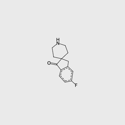 O=C1c2ccc(F)cc2CC12CCNCC2